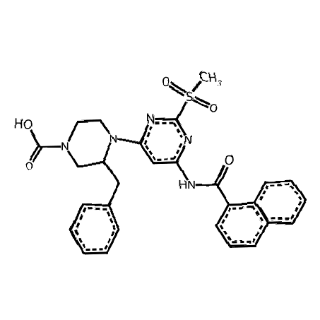 CS(=O)(=O)c1nc(NC(=O)c2cccc3ccccc23)cc(N2CCN(C(=O)O)CC2Cc2ccccc2)n1